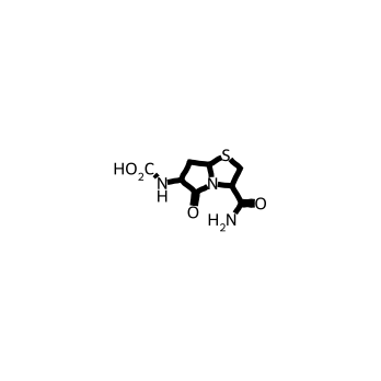 NC(=O)C1CSC2CC(NC(=O)O)C(=O)N21